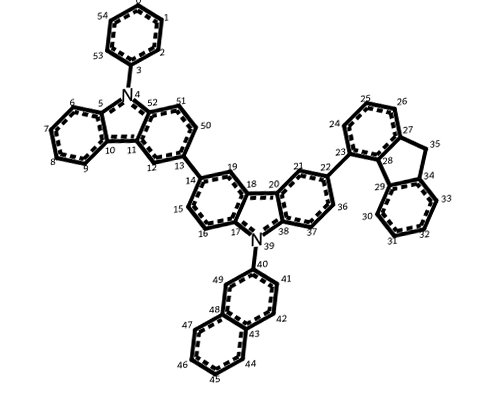 c1ccc(-n2c3ccccc3c3cc(-c4ccc5c(c4)c4cc(-c6cccc7c6-c6ccccc6C7)ccc4n5-c4ccc5ccccc5c4)ccc32)cc1